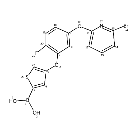 OB(O)c1cc(Oc2cc(Oc3cccc(Br)n3)ccc2F)cs1